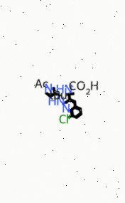 CC(=O)N1CCC(CNc2nc3c(Cl)cccc3cc2C(C)(NC(=O)O)C(C)(C)C)C1